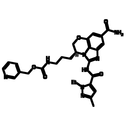 CCn1nc(C)cc1C(=O)Nc1nc2cc(C(N)=O)cc3c2n1[C@@H](CCCNC(=O)OCc1cccnc1)CO3